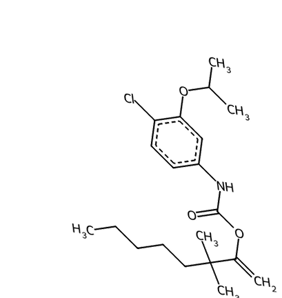 C=C(OC(=O)Nc1ccc(Cl)c(OC(C)C)c1)C(C)(C)CCCCC